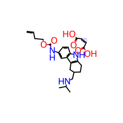 C=CCCOC(=O)Nc1ccc2[nH]c3c(c2c1)CC(CNC(C)C)CC3.O=C(O)/C=C\C(=O)O